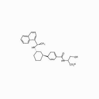 C[C@@H](N[C@H]1CCC[C@H](C2C=CC(C(=O)NC(CO)C(=O)O)=CC2)C1)c1cccc2ccccc12